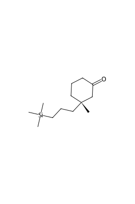 C[C@@]1(CCC[Si](C)(C)C)CCCC(=O)C1